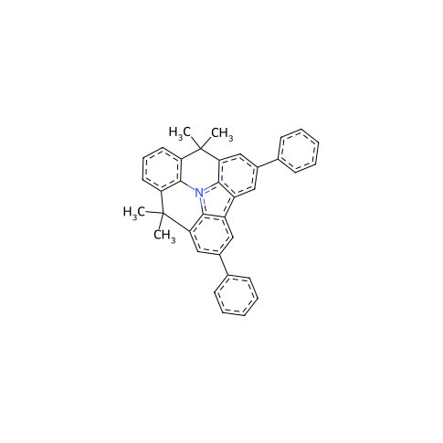 CC1(C)c2cccc3c2-n2c4c1cc(-c1ccccc1)cc4c1cc(-c4ccccc4)cc(c12)C3(C)C